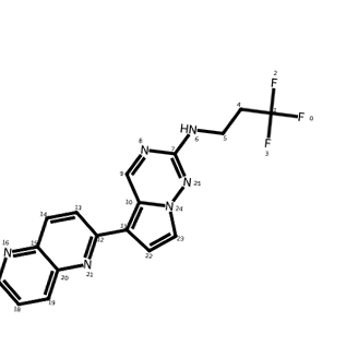 FC(F)(F)CCNc1ncc2c(-c3ccc4ncccc4n3)ccn2n1